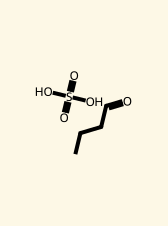 CCCC=O.O=S(=O)(O)O